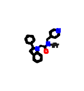 CC(C)N(Cc1ccncc1)C(=O)Cn1c(-c2ccccc2)cc2ccccc21